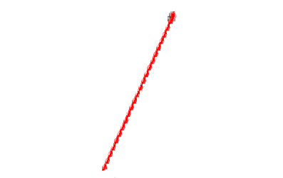 [3H]P(C)OC(=O)CNC(=O)OCCOCCOCCOCCOCCOCCOCCOCCOCCOCCOCCOCCOCCOCCOCCOCCOCCOCCOCCOCCOCCOCCOCCOCCOCCOCCOCCOCCOCCOCCOCCOCCOCCOCCOCCOCCOCCOCCOCCOCCOCCOCCOCCOCCOCCC